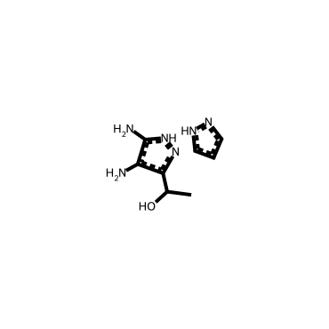 CC(O)c1n[nH]c(N)c1N.c1cn[nH]c1